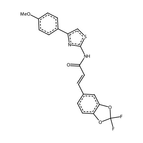 COc1ccc(-c2csc(NC(=O)C=Cc3ccc4c(c3)OC(F)(F)O4)n2)cc1